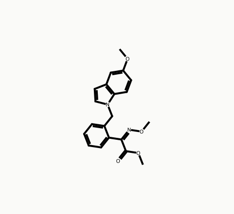 CON=C(C(=O)OC)c1ccccc1Cn1ccc2cc(OC)ccc21